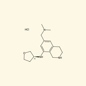 CN(C)Cc1cc2c(c(N[C@H]3CCOC3)c1)CNCC2.Cl